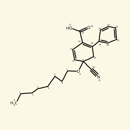 CCCCCCCCOC1(C#N)C=CC(C(=O)O)=C(c2ccccc2)C1